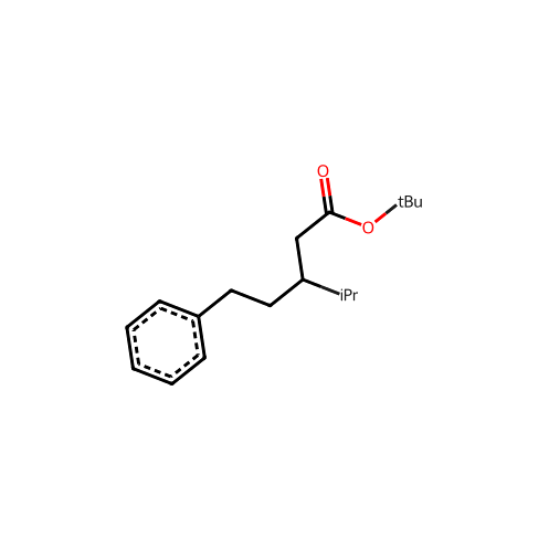 CC(C)C(CCc1ccccc1)CC(=O)OC(C)(C)C